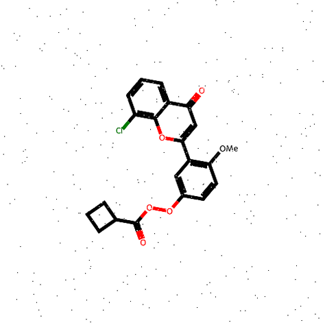 COc1ccc(OOC(=O)C2CCC2)cc1-c1cc(=O)c2cccc(Cl)c2o1